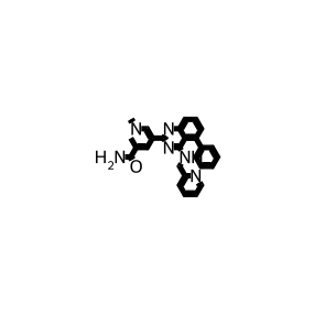 C=N/C=C(\C=C(/C)C(N)=O)c1nc(NCc2ccccn2)c2c(-c3ccccc3)cccc2n1